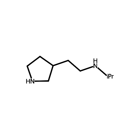 CC(C)NCCC1CCNC1